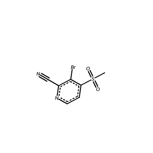 CS(=O)(=O)c1ccnc(C#N)c1Br